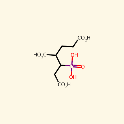 O=C(O)CCC(C(=O)O)C(CC(=O)O)P(=O)(O)O